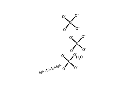 O.[Al+3].[Al+3].[Al+3].[Al+3].[O-][Si]([O-])([O-])[O-].[O-][Si]([O-])([O-])[O-].[O-][Si]([O-])([O-])[O-]